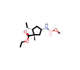 CCOC(=O)[C@@]1(C)C[C@@H](NBOC)C[C@H]1CC